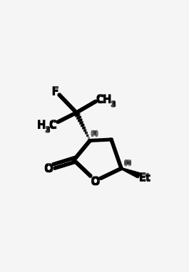 CC[C@@H]1C[C@@H](C(C)(C)F)C(=O)O1